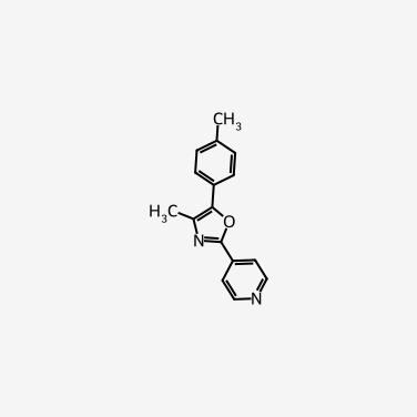 Cc1ccc(-c2oc(-c3ccncc3)nc2C)cc1